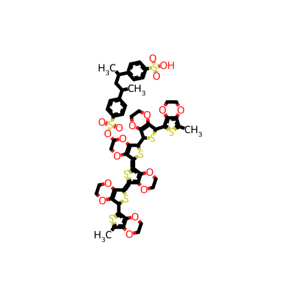 Cc1sc(C2S/C(=c3/s/c(=C4/SC(C5SC(c6sc(C)c7c6OCCO7)C6=C5OCCO6)C5=C4OCC(OS(=O)(=O)c4ccc(C(C)CC(C)c6ccc(S(=O)(=O)O)cc6)cc4)O5)c4c3OCCO4)C3=C2OCCO3)c2c1OCCO2